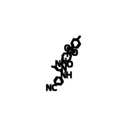 Cc1ccc(S(=O)(=O)N2CCN(c3nc(C)cc(Nc4ccc(C#N)cc4)n3)C(=O)C2)cc1